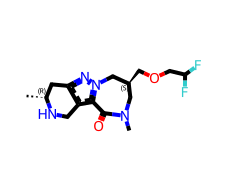 C[C@@H]1Cc2nn3c(c2CN1)C(=O)N(C)C[C@H](COCC(F)F)C3